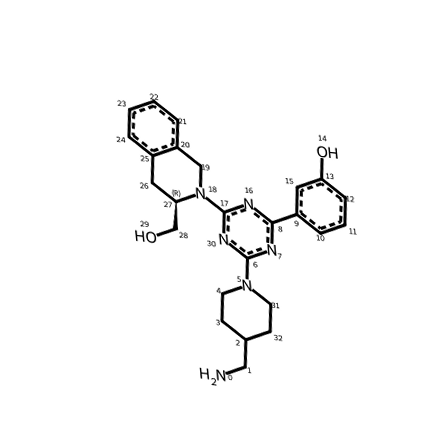 NCC1CCN(c2nc(-c3cccc(O)c3)nc(N3Cc4ccccc4C[C@@H]3CO)n2)CC1